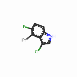 CC(C)c1c(F)ccc2[nH]cc(Cl)c12